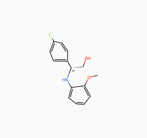 COc1ccccc1N[C@@H](CO)c1ccc(F)cc1